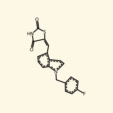 O=C1NC(=O)C(=Cc2cccc3c2ccn3Cc2ccc(F)cc2)S1